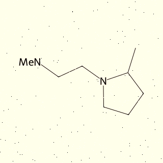 CNCCN1CCCC1C